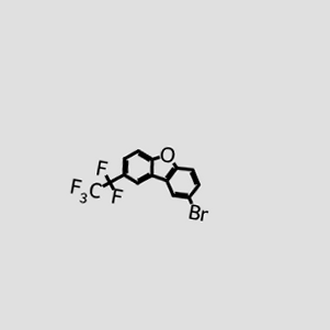 FC(F)(F)C(F)(F)c1ccc2oc3ccc(Br)cc3c2c1